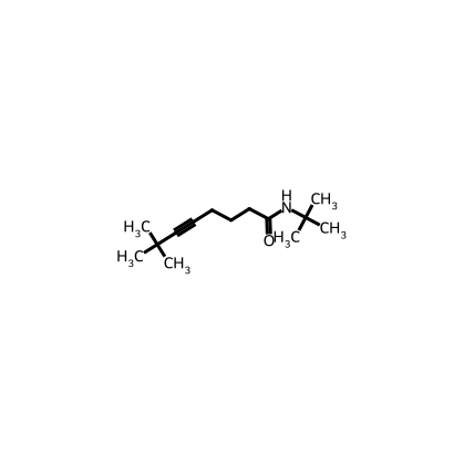 CC(C)(C)C#CCCCC(=O)NC(C)(C)C